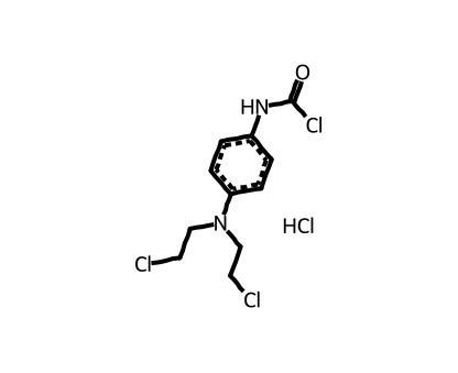 Cl.O=C(Cl)Nc1ccc(N(CCCl)CCCl)cc1